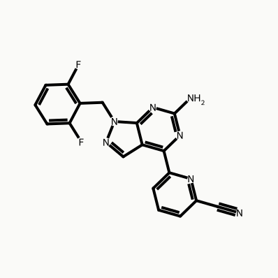 N#Cc1cccc(-c2nc(N)nc3c2cnn3Cc2c(F)cccc2F)n1